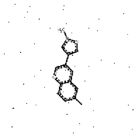 Cn1cc(-c2cnc3ccc(I)cc3c2)cn1